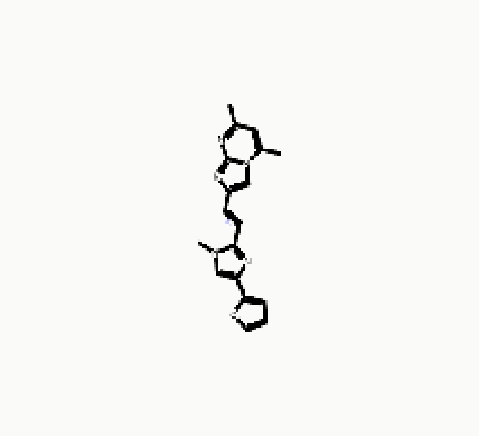 Cc1cc(C)n2cc(/C=C/c3nc(-c4ccco4)cn3C)nc2n1